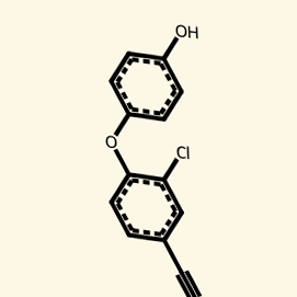 N#Cc1ccc(Oc2ccc(O)cc2)c(Cl)c1